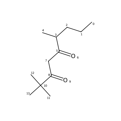 CCCC(C)C(=O)CC(=O)C(C)(C)C